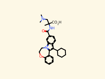 CN(C)CC(C)(NC(=O)c1ccc2c(C3CCCCC3)c3n(c2c1)CCOc1ccccc1-3)C(=O)O